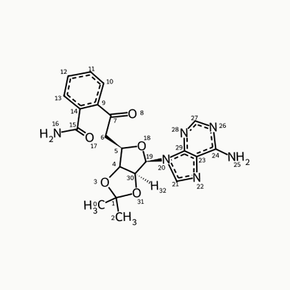 CC1(C)OC2[C@@H](CC(=O)c3ccccc3C(N)=O)O[C@@H](n3cnc4c(N)ncnc43)[C@H]2O1